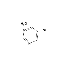 O.[Zn].c1cncnc1